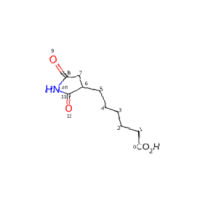 O=C(O)CCCCCC1CC(=O)NC1=O